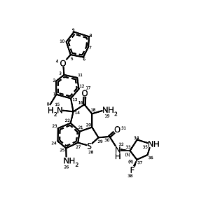 Cc1cc(Oc2ccccc2)ccc1C1(N)C(=O)C(N)C2c3c1ccc(N)c3SC2C(=O)N[C@H]1CNC[C@H]1F